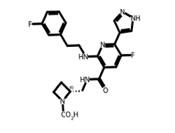 O=C(NC[C@H]1CCN1C(=O)O)c1cc(F)c(-c2cn[nH]c2)nc1NCCc1cccc(F)c1